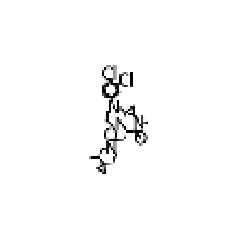 CC1CN(CC[C@@H](C(=O)N(C)C2CC2)N2CCN(c3ccc(Cl)c(Cl)c3)CCC2=O)CCC12CC2